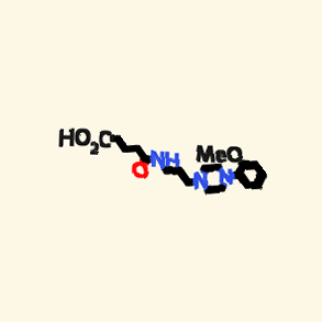 COc1ccccc1N1CCN(CCCNC(=O)CCCC(=O)O)CC1